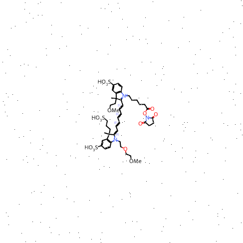 COCCOCCN1/C(=C/C=C/C=C/C=C/C2=[N+](CCCCCC(=O)ON3C(=O)CCC3=O)c3ccc(S(=O)(=O)O)cc3C2(C)CCOC)C(C)(CCCS(=O)(=O)O)c2cc(S(=O)(=O)O)ccc21